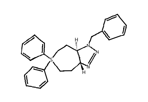 c1ccc(CN2N=N[C@@H]3CCS(c4ccccc4)(c4ccccc4)CC[C@H]32)cc1